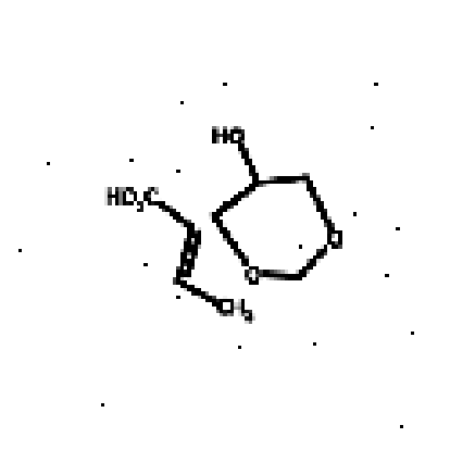 CC=CC(=O)O.OC1COCOC1